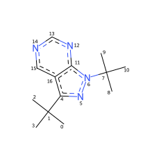 CC(C)(C)c1nn(C(C)(C)C)c2ncncc12